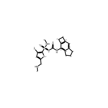 CNCc1cc(F)c(S(=O)(=NC(=O)Nc2c3c(cc4c2CC4)CCC3)NC)s1